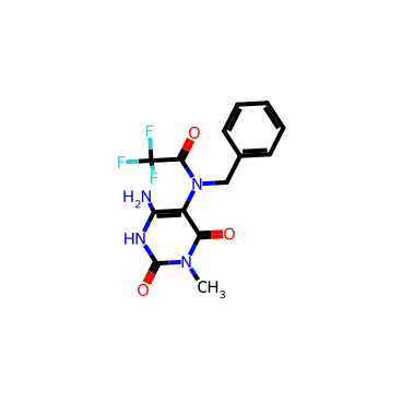 Cn1c(=O)[nH]c(N)c(N(Cc2ccccc2)C(=O)C(F)(F)F)c1=O